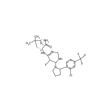 CC(C)(C)C[C@@H](NC1=NCNC(N2CCCC2c2ccc(C(F)(F)F)cc2Cl)C1F)C(N)=O